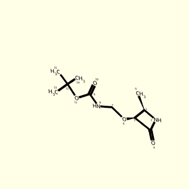 C[C@H]1NC(=O)[C@H]1OCNC(=O)OC(C)(C)C